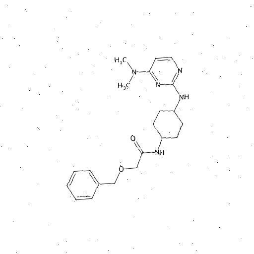 CN(C)c1ccnc(NC2CCC(NC(=O)COCc3ccccc3)CC2)n1